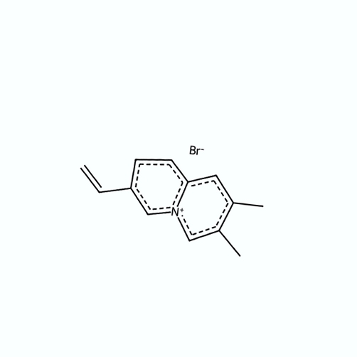 C=Cc1ccc2cc(C)c(C)c[n+]2c1.[Br-]